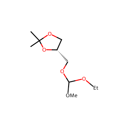 CCOC(OC)OC[C@H]1COC(C)(C)O1